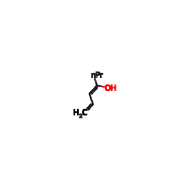 C=C/C=C(\O)CCC